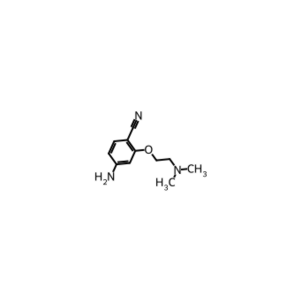 CN(C)CCOc1cc(N)ccc1C#N